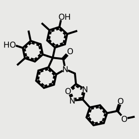 COC(=O)c1cccc(-c2noc(CN3C(=O)C(c4cc(C)c(O)c(C)c4)(c4cc(C)c(O)c(C)c4)c4ccccc43)n2)c1